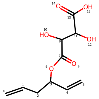 C=CCC(C=C)OC(=O)C(O)C(O)C(=O)O